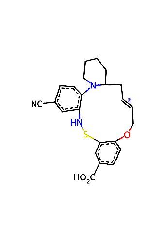 N#Cc1ccc2c(c1)NSc1cc(C(=O)O)ccc1OC/C=C/CC1CCCCN21